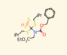 CCOC(=O)CN(C(=O)OCc1ccccc1)C([PH2]=S)(SCC(C)C)SCC(C)C